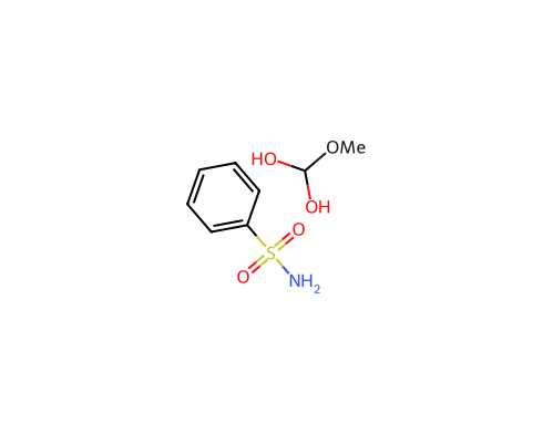 COC(O)O.NS(=O)(=O)c1ccccc1